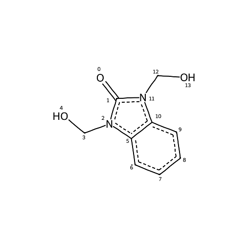 O=c1n(CO)c2[c]cccc2n1CO